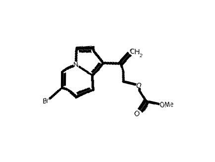 C=C(COC(=O)OC)c1ccn2cc(Br)ccc12